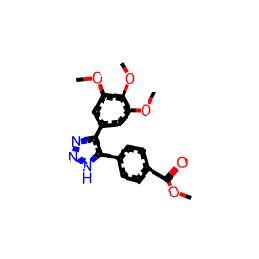 COC(=O)c1ccc(-c2[nH]nnc2-c2cc(OC)c(OC)c(OC)c2)cc1